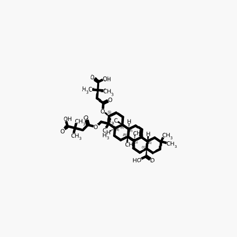 CC1(C)CC[C@]2(C(=O)O)CC[C@]3(C)C(=CC[C@@H]4[C@@]5(C)CC[C@H](OC(=O)CC(C)(C)C(=O)O)C(C)(COC(=O)CC(C)(C)C(=O)O)[C@@H]5CC[C@]43C)[C@@H]2C1